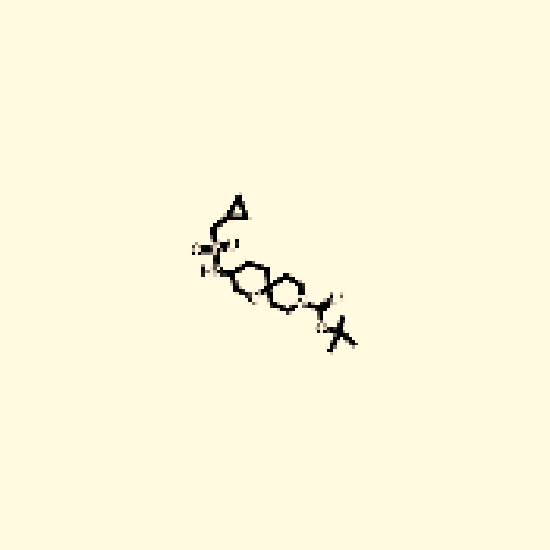 CC(C)(C)OC(=O)N1CCC2(CCC(NS(=O)(=O)CC3CC3)CO2)CC1